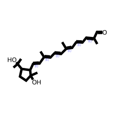 C\C(C=O)=C/C=C/C=C(C)/C=C/C=C(C)/C=C/C1C(C(C)(C)O)CCC1(C)O